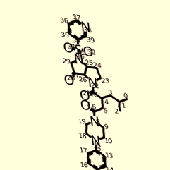 CC(C)CC(CC(=O)N1CCN(c2ccccc2)CC1)C(=O)N1CCC2C1C(=O)CN2S(=O)(=O)c1cccnc1